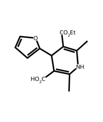 CCOC(=O)C1=C(C)NC(C)=C(C(=O)O)C1c1ccco1